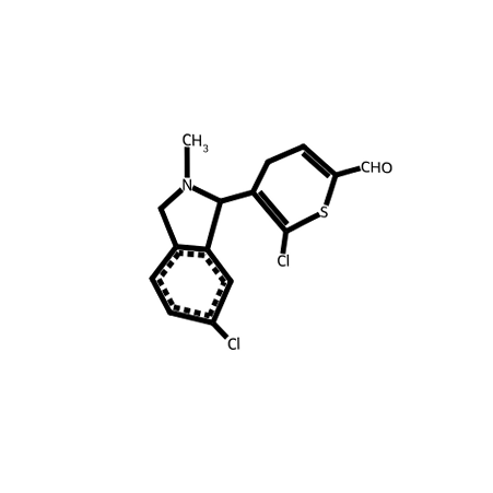 CN1Cc2ccc(Cl)cc2C1C1=C(Cl)SC(C=O)=CC1